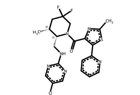 Cc1nc(C(=O)N2CC(F)(F)C[C@@H](C)[C@H]2CNc2ncc(Cl)cn2)c(-c2ccccn2)s1